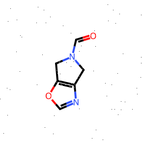 O=CN1Cc2ncoc2C1